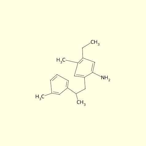 CCc1cc(N)c(CC(C)c2cccc(C)c2)cc1C